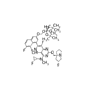 C#Cc1c(F)ccc2cc(OCOP(=O)(OC(C)(C)C)OC(C)(C)C)cc(-c3ncc4c(N(C)[C@@H]5C[C@H]5F)nc(OC[C@@]56CCCN5C[C@H](F)C6)nc4c3F)c12